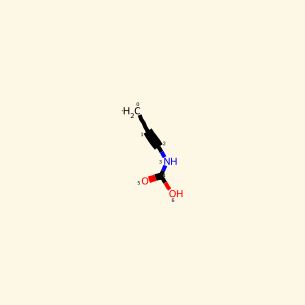 [CH2]C#CNC(=O)O